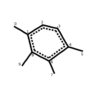 Cc1[c][c]c(C)c(C)c1C